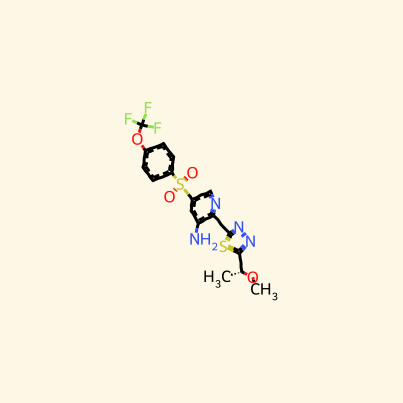 CO[C@H](C)c1nnc(-c2ncc(S(=O)(=O)c3ccc(OC(F)(F)F)cc3)cc2N)s1